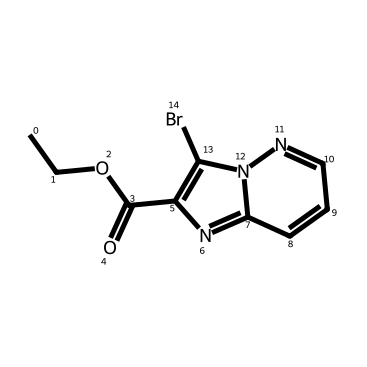 CCOC(=O)c1nc2cccnn2c1Br